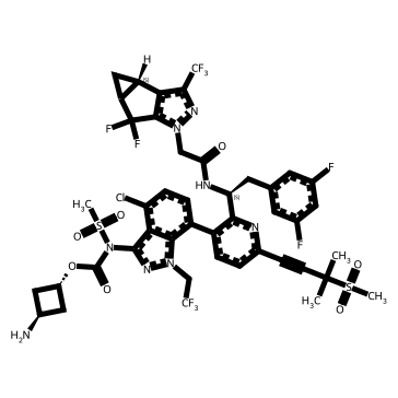 CC(C)(C#Cc1ccc(-c2ccc(Cl)c3c(N(C(=O)O[C@H]4C[C@H](N)C4)S(C)(=O)=O)nn(CC(F)(F)F)c23)c([C@H](Cc2cc(F)cc(F)c2)NC(=O)Cn2nc(C(F)(F)F)c3c2C(F)(F)C2C[C@H]32)n1)S(C)(=O)=O